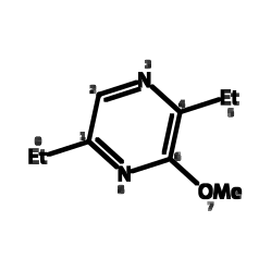 CCc1cnc(CC)c(OC)n1